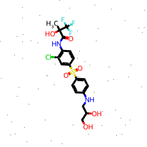 CC(O)(C(=O)Nc1ccc(S(=O)(=O)c2ccc(NCC(O)CO)cc2)cc1Cl)C(F)(F)F